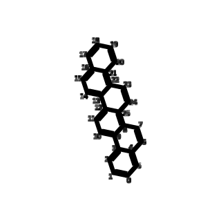 c1ccc2c(c1)ccc1c2ccc2c3ccc4ccccc4c3ccc12